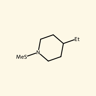 CCC1CCN(SC)CC1